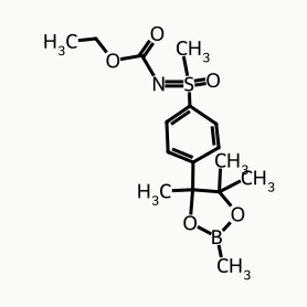 CCOC(=O)N=S(C)(=O)c1ccc(C2(C)OB(C)OC2(C)C)cc1